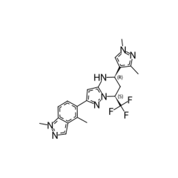 Cc1nn(C)cc1[C@H]1C[C@@H](C(F)(F)F)n2nc(-c3ccc4c(cnn4C)c3C)cc2N1